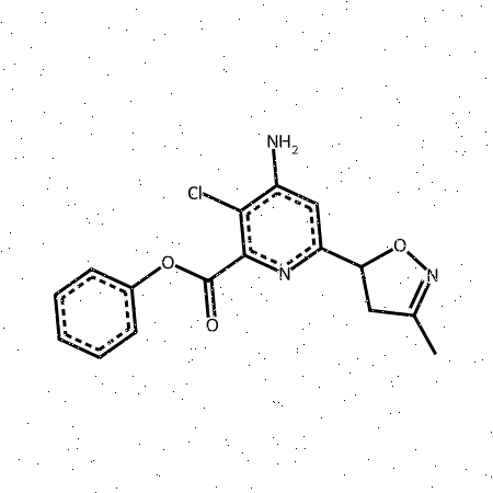 CC1=NOC(c2cc(N)c(Cl)c(C(=O)Oc3ccccc3)n2)C1